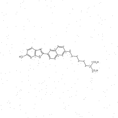 Cc1ccc2nc(-c3ccc4cc(OCCCCCC(C(=O)O)C(=O)O)ccc4c3)oc2c1